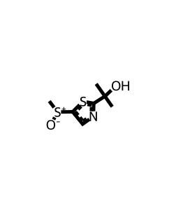 C[S+]([O-])c1cnc(C(C)(C)O)s1